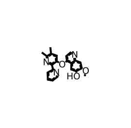 COc1cc2nccc(Oc3cc(C)c(C)nc3-c3ccccn3)c2cc1O